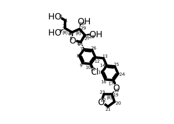 OC[C@@H](O)[C@H]1O[C@@H](c2ccc(Cl)c(Cc3ccc(O[C@@H]4CCOC4)cc3)c2)[C@H](O)[C@H]1O